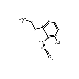 CCCc1cccc(Cl)c1N=C=O